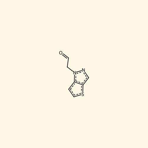 O=CCn1ncc2sccc21